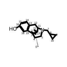 C[C@@H]1CC23CCN(CC4CC4)C(Cc4ccc(O)cc42)C3(C)C1